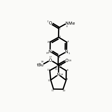 CNC(=O)c1cnc(N2CC3CCC(C2)N3C(=O)OC(C)(C)C)nc1